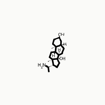 CC(N)[C@H]1CC[C@]2(O)[C@@H]3CC[C@@H]4C[C@@H](O)CC[C@]4(C)[C@H]3CC[C@]12C